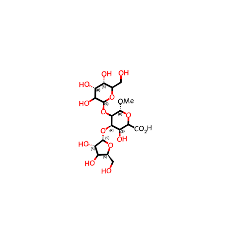 CO[C@@H]1OC(C(=O)O)[C@@H](O)[C@@H](O[C@@H]2O[C@@H](CO)C(O)[C@@H]2O)C1O[C@@H]1OC(CO)[C@@H](O)[C@@H](O)C1O